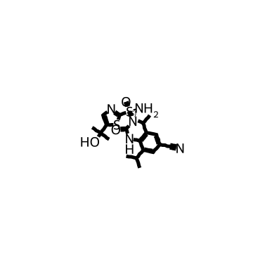 CC(C)c1cc(C#N)cc(C(C)C)c1NC(=O)N=[S@](N)(=O)c1ncc(C(C)(C)O)s1